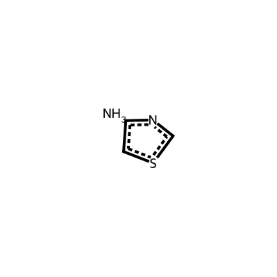 N.c1cscn1